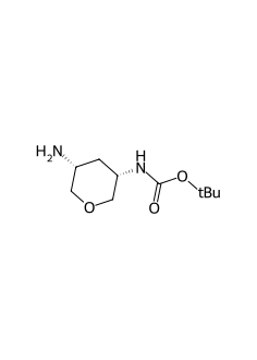 CC(C)(C)OC(=O)N[C@@H]1COC[C@H](N)C1